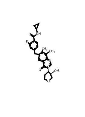 Cc1c(Cc2ccc(C(=O)NC3CC3)c(F)c2)cc2c(=O)n([C@H]3CCOC[C@@H]3O)cnc2c1C